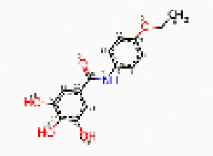 CCOc1ccc(NC(=O)c2cc(O)c(O)c(O)c2)cc1